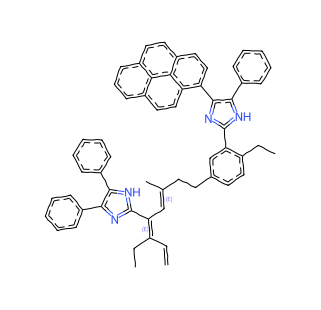 C=C/C(CC)=C(\C=C(/C)CCc1ccc(CC)c(-c2nc(-c3ccc4ccc5cccc6ccc3c4c56)c(-c3ccccc3)[nH]2)c1)c1nc(-c2ccccc2)c(-c2ccccc2)[nH]1